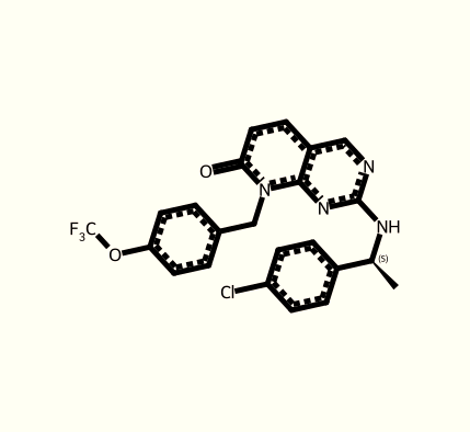 C[C@H](Nc1ncc2ccc(=O)n(Cc3ccc(OC(F)(F)F)cc3)c2n1)c1ccc(Cl)cc1